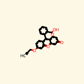 C#CCOc1ccc2c(-c3ccccc3C(=O)O)c3ccc(=O)cc-3oc2c1